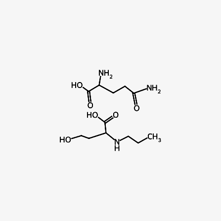 CCCNC(CCO)C(=O)O.NC(=O)CCC(N)C(=O)O